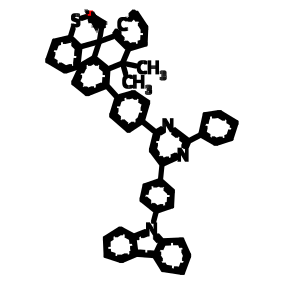 CC1(C)c2ccccc2C2(c3ccccc3Sc3ccccc32)c2cccc(-c3ccc(-c4cc(-c5ccc(-n6c7ccccc7c7ccccc76)cc5)nc(-c5ccccc5)n4)cc3)c21